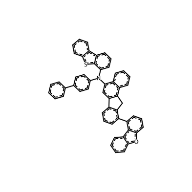 c1ccc(-c2ccc(N(c3cc4c(c5ccccc35)Cc3c-4cccc3-c3cccc4oc5ccccc5c34)c3cccc4c3sc3ccccc34)cc2)cc1